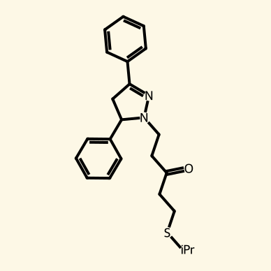 CC(C)SCCC(=O)CCN1N=C(c2ccccc2)CC1c1ccccc1